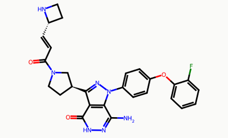 Nc1n[nH]c(=O)c2c([C@H]3CCN(C(=O)/C=C/[C@H]4CCN4)C3)nn(-c3ccc(Oc4ccccc4F)cc3)c12